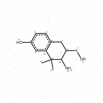 CCCSC1Cc2ccc(O)cc2C(C)(C)C1N